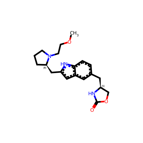 COCCN1CCC[C@@H]1Cc1cc2cc(C[C@H]3COC(=O)N3)ccc2[nH]1